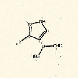 CC(C)(C)OC=O.Ic1cc[nH]n1